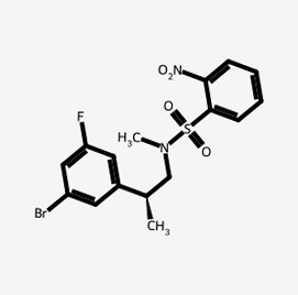 C[C@H](CN(C)S(=O)(=O)c1ccccc1[N+](=O)[O-])c1cc(F)cc(Br)c1